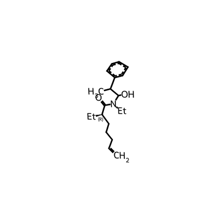 C=CCCC[C@@H](CC)C(=O)N(CC)C(O)C(C)c1ccccc1